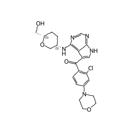 O=C(c1ccc(N2CCOCC2)cc1Cl)c1c[nH]c2ncnc(N[C@H]3CC[C@@H](CO)OC3)c12